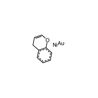 C1=COc2ccccc2C1.[Au].[Ni]